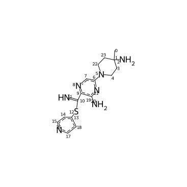 CC1(N)CCN(c2cnc(C(=N)Sc3ccncc3)c(N)n2)CC1